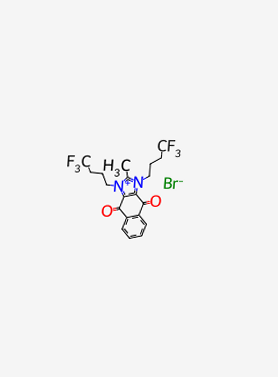 Cc1n(CCCC(F)(F)F)c2c([n+]1CCCC(F)(F)F)C(=O)c1ccccc1C2=O.[Br-]